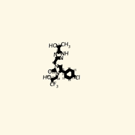 CC(O)c1nc(Cn2cc(-c3ccc(Cl)cc3)n(CC(O)C(F)(F)F)c2=O)n[nH]1